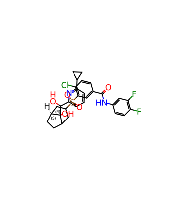 O=C(Nc1ccc(F)c(F)c1)c1ccc(Cl)c(S(=O)(=O)C2CC3CC[C@@H](C2)[C@@]3(O)C(O)c2cccc(C3CC3)n2)c1